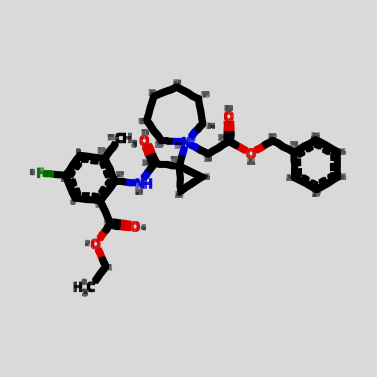 CCOC(=O)c1cc(F)cc(C)c1NC(=O)C1([N+]2(CC(=O)OCc3ccccc3)CCCCCC2)CC1